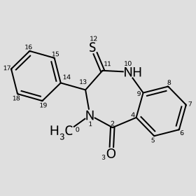 CN1C(=O)c2ccccc2NC(=S)C1c1ccccc1